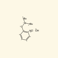 C[C](C)(C)[Al]([O]c1ccccc1)[C](C)(C)C.Cl.Cl